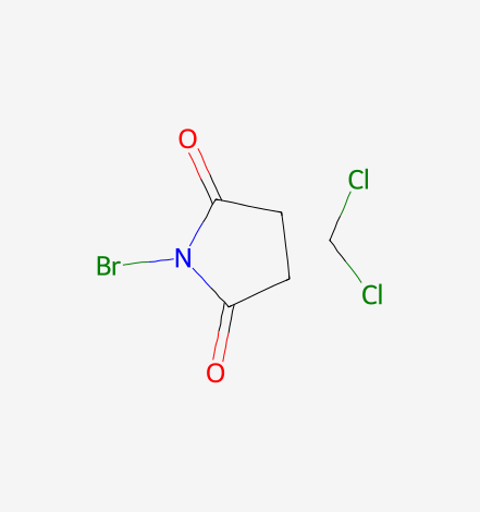 ClCCl.O=C1CCC(=O)N1Br